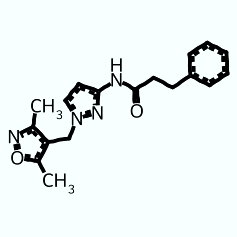 Cc1noc(C)c1Cn1ccc(NC(=O)CCc2ccccc2)n1